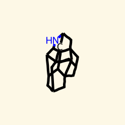 C1C2CC34CC5CC6C3C1C1C3NC7CC1(C2)C4C(C5)(C7)C63